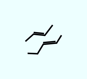 CC=CC.CC=CCC